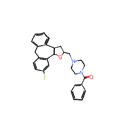 O=C(c1ccccc1)N1CCN(CC2CC3c4ccccc4Cc4ccc(F)cc4C3O2)CC1